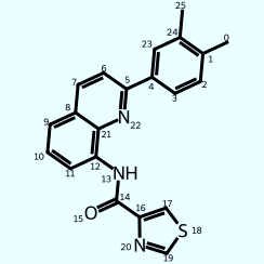 Cc1ccc(-c2ccc3cccc(NC(=O)c4cscn4)c3n2)cc1C